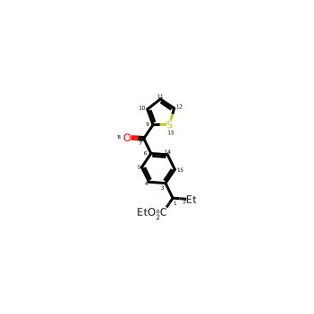 CCOC(=O)C(CC)c1ccc(C(=O)c2cccs2)cc1